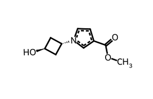 COC(=O)c1ccn([C@H]2C[C@H](O)C2)c1